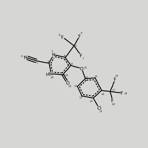 N#Cc1nc(C(F)(F)F)c(Oc2ccc(Cl)c(C(F)(F)F)c2)c(=O)[nH]1